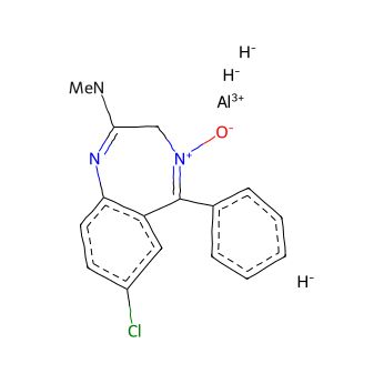 CNC1=Nc2ccc(Cl)cc2C(c2ccccc2)=[N+]([O-])C1.[Al+3].[H-].[H-].[H-]